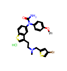 CC(C)Oc1ccc(N(C(N)=O)c2ccc3scc(CCN(C)Cc4cc(Br)cs4)c3c2)cc1.Cl